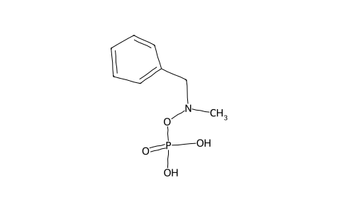 CN(Cc1ccccc1)OP(=O)(O)O